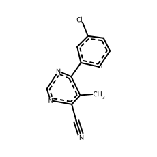 Cc1c(C#N)ncnc1-c1[c]ccc(Cl)c1